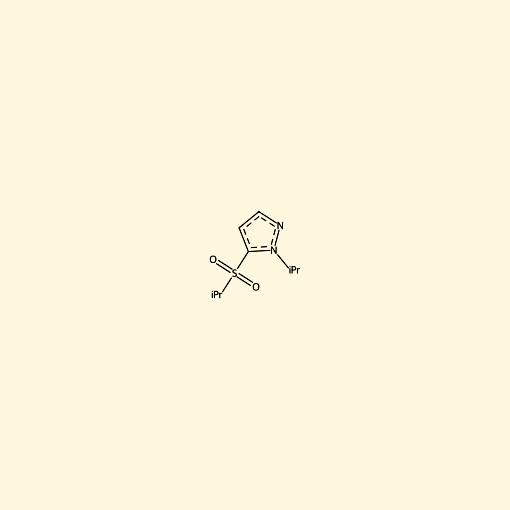 CC(C)n1nccc1S(=O)(=O)C(C)C